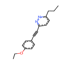 CCCc1ccc(C#Cc2ccc(OCC)cc2)nn1